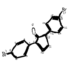 O=C1C(c2ccc(Br)cc2)=C=CC1c1ccc(Br)cc1